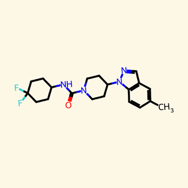 Cc1ccc2c(cnn2C2CCN(C(=O)NC3CCC(F)(F)CC3)CC2)c1